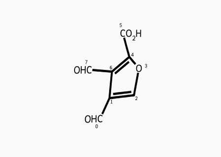 O=Cc1coc(C(=O)O)c1C=O